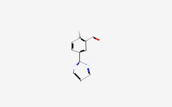 O=Cc1cc(-c2ncccn2)ccc1Br